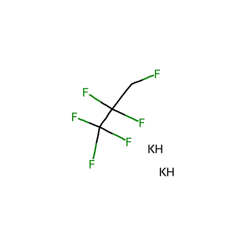 FCC(F)(F)C(F)(F)F.[KH].[KH]